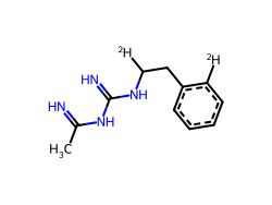 [2H]c1ccccc1CC([2H])NC(=N)NC(C)=N